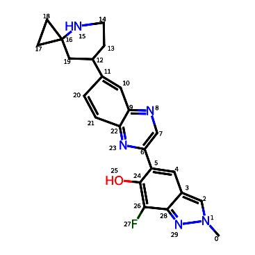 Cn1cc2cc(-c3cnc4cc(C5CCNC6(CC6)C5)ccc4n3)c(O)c(F)c2n1